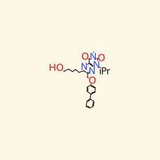 CC(C)Cn1c(=O)n(C)c(=O)c2nc(CCCCCO)c(COc3ccc(-c4ccccc4)cc3)nc21